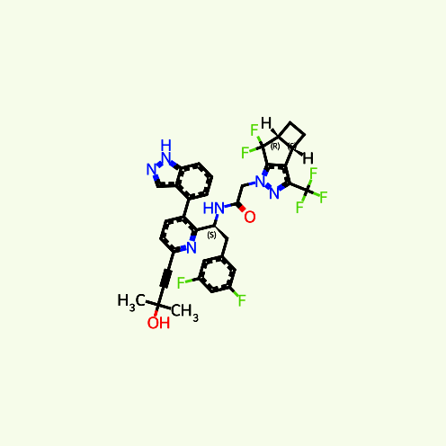 CC(C)(O)C#Cc1ccc(-c2cccc3[nH]ncc23)c([C@H](Cc2cc(F)cc(F)c2)NC(=O)Cn2nc(C(F)(F)F)c3c2C(F)(F)[C@@H]2CC[C@H]32)n1